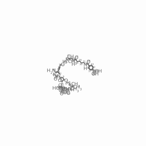 CC(C)(C)SSCOC1C[C@H](n2cc(C#CCOCSSC(C)(C)CNC(=O)CCCCNC(=O)c3ccc(B(O)O)cc3)c(N)nc2=O)O[C@@H]1COP(=O)(O)OP(=O)(O)OP(=O)(O)O